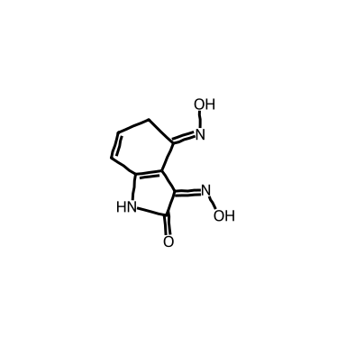 O=C1NC2=C(C(=NO)CC=C2)C1=NO